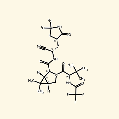 [2H]C1([2H])C[C@@H](C[C@@H](C#N)NC(=O)[C@@H]2[C@@H]3[C@H](CN2C(=O)[C@@H](NC(=O)C(F)(F)F)C(C)(C)C)C3(C)C)C(=O)N1